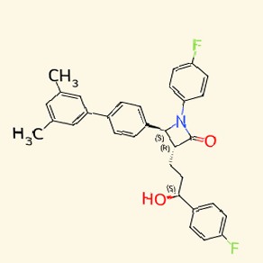 Cc1cc(C)cc(-c2ccc([C@@H]3[C@@H](CC[C@H](O)c4ccc(F)cc4)C(=O)N3c3ccc(F)cc3)cc2)c1